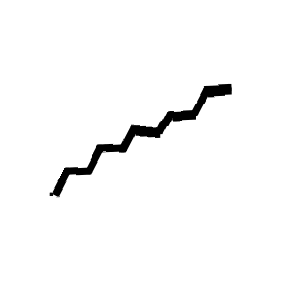 [CH2]CCCC/C=C/C=C/C=C